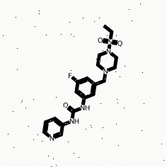 CCS(=O)(=O)N1CCN(Cc2cc(F)cc(NC(=O)Nc3cccnc3)c2)CC1